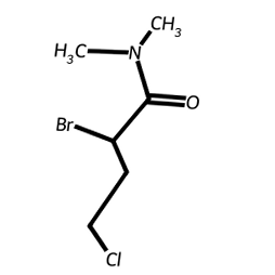 CN(C)C(=O)C(Br)CCCl